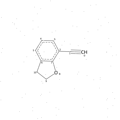 C#Cc1cccc2c1OCC2